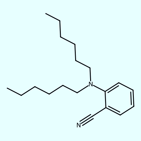 CCCCCCN(CCCCCC)c1ccccc1C#N